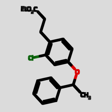 CCOC(=O)CCc1ccc(OC(C)c2ccccc2)cc1Cl